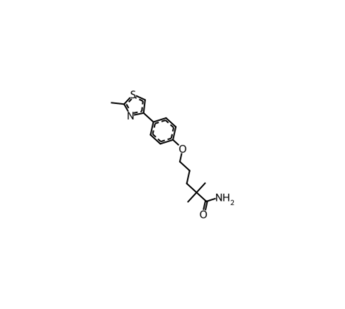 Cc1nc(-c2ccc(OCCCC(C)(C)C(N)=O)cc2)cs1